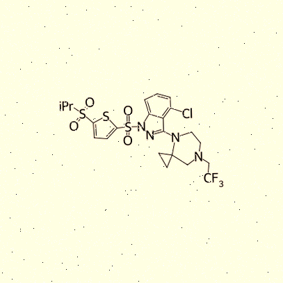 CC(C)S(=O)(=O)c1ccc(S(=O)(=O)n2nc(N3CCN(CC(F)(F)F)CC34CC4)c3c(Cl)cccc32)s1